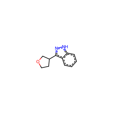 c1ccc2c(C3CCOC3)n[nH]c2c1